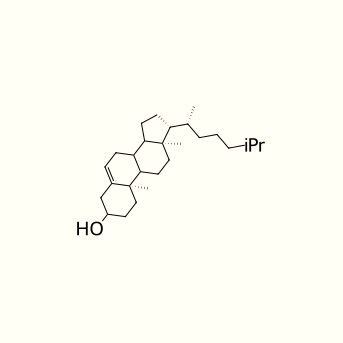 CC(C)CCC[C@@H](C)[C@H]1CCC2C3CC=C4CC(O)CC[C@]4(C)C3CC[C@@]21C